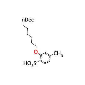 CCCCCCCCCCCCCCCCOc1cc(C)ccc1S(=O)(=O)O